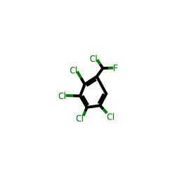 FC(Cl)c1cc(Cl)c(Cl)c(Cl)c1Cl